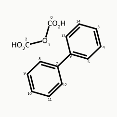 O=C(O)OC(=O)O.c1ccc(-c2ccccc2)cc1